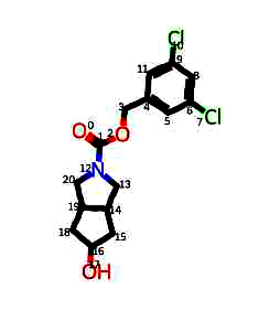 O=C(OCc1cc(Cl)cc(Cl)c1)N1CC2CC(O)CC2C1